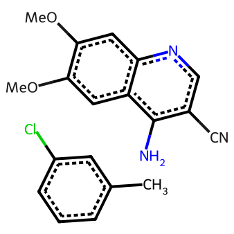 COc1cc2ncc(C#N)c(N)c2cc1OC.Cc1cccc(Cl)c1